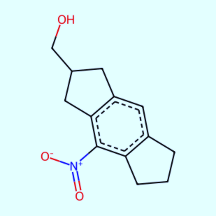 O=[N+]([O-])c1c2c(cc3c1CC(CO)C3)CCC2